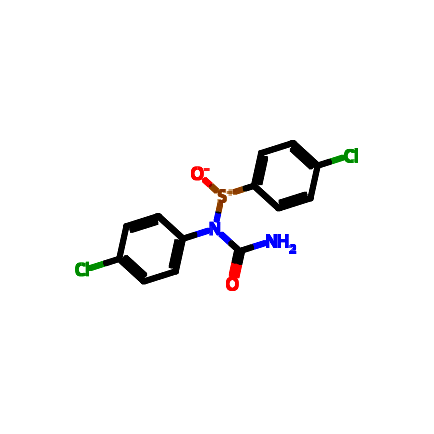 NC(=O)N(c1ccc(Cl)cc1)[S+]([O-])c1ccc(Cl)cc1